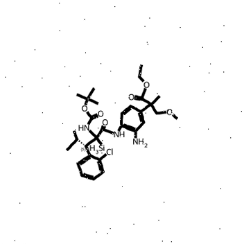 CCOC(=O)C(C)(COC)c1ccc(NC(=O)C([SiH3])(NC(=O)OC(C)(C)C)[C@H](c2ccccc2Cl)C(C)C)c(N)c1